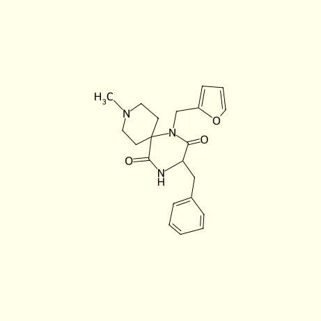 CN1CCC2(CC1)C(=O)NC(Cc1ccccc1)C(=O)N2Cc1ccco1